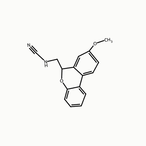 COc1ccc2c(c1)C(CNC#N)Oc1ccccc1-2